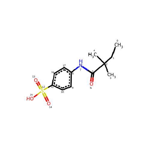 CCC(C)(C)C(=O)Nc1ccc(S(=O)(=O)O)cc1